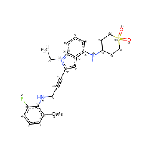 COc1cccc(F)c1NCC#Cc1cc2c(NC3CCS(=O)(=O)CC3)cccc2n1CC(F)(F)F